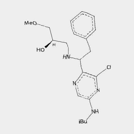 CCC(C)Nc1cnc(C(Cc2ccccc2)NC[C@@H](O)COC)c(Cl)n1